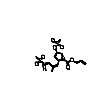 C=CCOC(=O)N1C[C@H](OS(C)(=O)=O)C[C@H]1C=C(C)CNS(C)(=O)=O